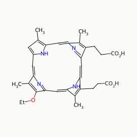 CCOC1=C(C)c2cc3cc(C)c(cc4nc(cc5[nH]c(cc1n2)c(C)c5CCC(=O)O)C(CCC(=O)O)=C4C)[nH]3